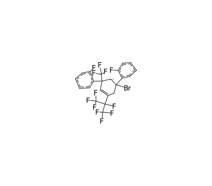 Fc1ccccc1C1(Br)[CH]C(c2ccccc2F)(C(F)(F)F)C=C(C(F)(C(F)(F)F)C(F)(F)F)C1